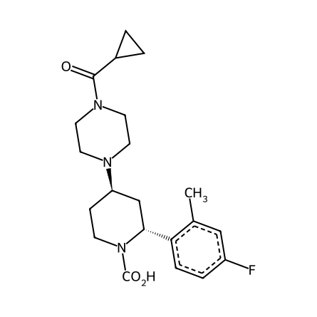 Cc1cc(F)ccc1[C@H]1C[C@H](N2CCN(C(=O)C3CC3)CC2)CCN1C(=O)O